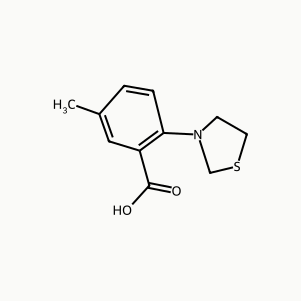 Cc1ccc(N2CCSC2)c(C(=O)O)c1